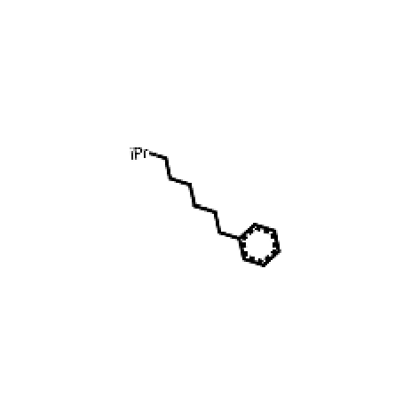 CC(C)CCCCCCc1ccccc1